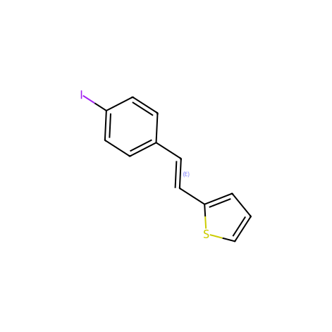 Ic1ccc(/C=C/c2cccs2)cc1